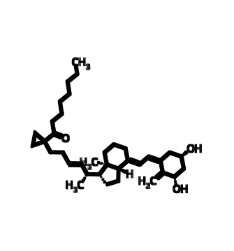 C=C1/C(=C\C=C2/CCC[C@]3(C)[C@@H]([C@H](C)/C=C/CCC4(C(=O)CCCCCCC)CC4)CC[C@@H]23)C[C@@H](O)C[C@@H]1O